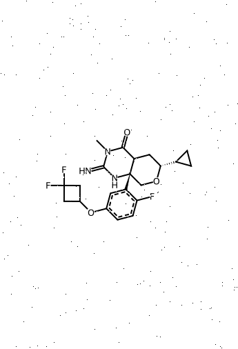 CN1C(=N)N[C@@]2(c3cc(OC4CC(F)(F)C4)ccc3F)CO[C@@H](C3CC3)CC2C1=O